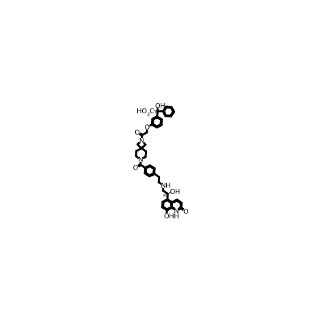 O=C(COc1cccc([C@](O)(C(=O)O)c2ccccc2)c1)N1CC2(CCN(C(=O)c3ccc(CCNC[C@H](O)c4ccc(O)c5[nH]c(=O)ccc45)cc3)CC2)C1